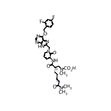 CN(C)C(=O)/C=C/CC[C@@H](CN(C)C(=O)O)C(=O)Nc1cccn(Cc2nc3c(OCc4ccc(F)cc4F)ncnc3[nH]2)c1=O